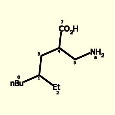 CCCCC(CC)CC(CN)C(=O)O